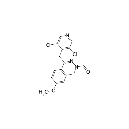 COc1ccc2c(c1)CN(C=O)N=C2Cc1c(Cl)cncc1Cl